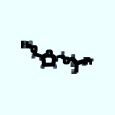 CCOC[C@@H]1CC[C@@H](COCC(C)C(C)C)O1